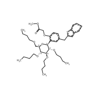 CCCCOC[C@H]1O[C@@H](c2cc(Cc3cc4ccccc4s3)ccc2OCC(=O)OC)[C@H](OCCCC)[C@@H](OCCCC)[C@@H]1OCCCC